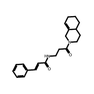 O=C(C=Cc1ccccc1)NCCC(=O)N1CCC2CCCC=C2C1